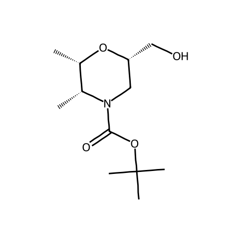 C[C@@H]1O[C@H](CO)CN(C(=O)OC(C)(C)C)[C@@H]1C